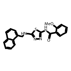 COc1ccccc1C(=O)Nc1nnc(NCc2cccc3ccccc23)s1